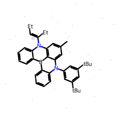 CC/C=C(\CC)N1c2ccccc2B2c3ccccc3N(c3cc(C(C)(C)C)cc(C(C)(C)C)c3)c3cc(C)cc1c32